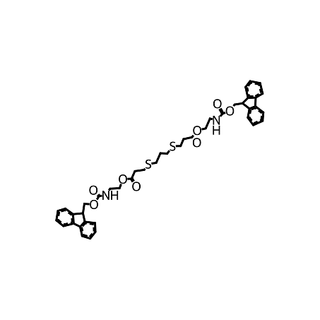 O=C(CCSCCCSCCC(=O)OCCNC(=O)OCC1c2ccccc2-c2ccccc21)OCCNC(=O)OCC1c2ccccc2-c2ccccc21